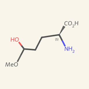 COC(O)CC[C@H](N)C(=O)O